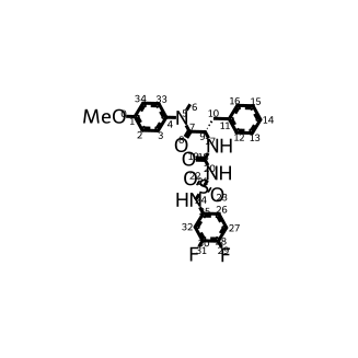 COc1ccc(N(C)C(=O)[C@H](Cc2ccccc2)NC(=O)NS(=O)(=O)Nc2ccc(F)c(F)c2)cc1